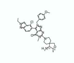 CCn1cc2c(Cl)c(-c3c4c(=O)n(C)c(N5CCC6(CC5)CO[C@@H](C)[C@H]6N)nc4nn3Cc3ccc(OC)cc3)ccc2n1